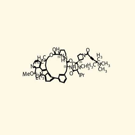 CCn1c(-c2cccnc2[C@H](C)OC)c2c3cc(ccc31)-c1cccc(c1)C[C@H](NC(=O)C(C(C)C)N(C)C(=O)[C@H]1CCN(C(=O)C#CC(C)(C)N(C)C)C1)C(=O)N1CCC[C@H](N1)C(=O)OCC(C)(C)C2